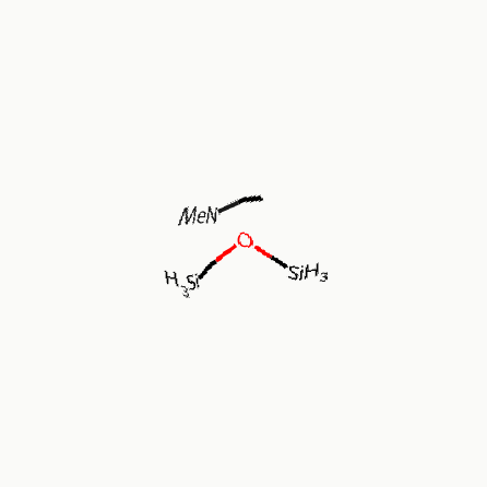 CNC.[SiH3]O[SiH3]